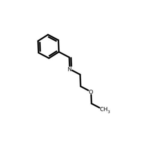 CCOCC/N=C/c1ccccc1